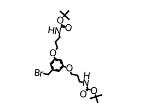 CC(C)(C)OC(=O)NCCCOc1cc(CBr)cc(OCCCNC(=O)OC(C)(C)C)c1